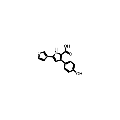 O=C(O)c1[nH]c(-c2ccoc2)cc1-c1ccc(O)cc1